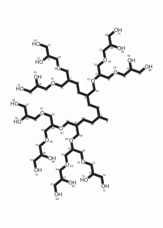 CC(CCC(CCC(COCC(O)CO)COCC(O)CO)COC(COCC(O)CO)COCC(O)CO)CCC(COC(COCC(O)CO)COCC(O)CO)COC(COCC(O)CO)COCC(O)CO